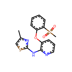 Cc1csc(Nc2ncccc2Oc2ccccc2S(C)(=O)=O)n1